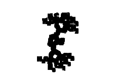 CN1C(C)(C)CC(N2CCN(C3CC(C)(C)N(C)C(C)(C)C3)C2=O)CC1(C)C